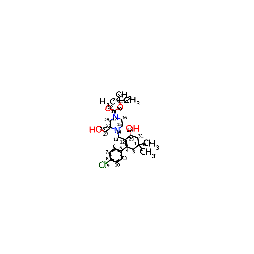 CC1(C)CC(c2ccc(Cl)cc2)=C(CN2CCN(C(=O)OC(C)(C)C)CC2CO)[C@H](O)C1